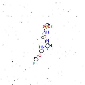 CS(=O)(=O)CCNCc1ccc(-c2cc3c(Nc4ccc(OCc5ccc(F)cc5)cc4)ncnc3cn2)o1